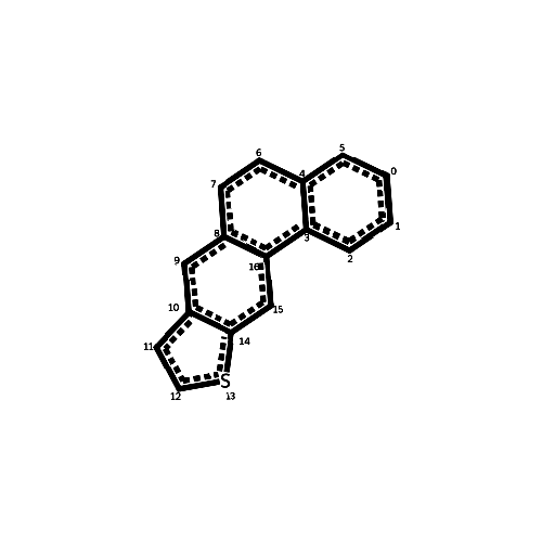 c1ccc2c(c1)ccc1cc3ccsc3cc12